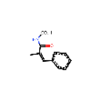 CC(=Cc1ccccc1)C(=O)NC(=O)O